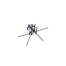 CCCCCCCCCCCCN(CCCCCCCCCCCC)CCN(CCN(CCCCCCCCCCCC)CCCCCCCCCCCC)C(=O)/C=C/C(N)=O